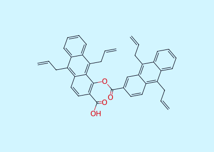 C=CCc1c2ccccc2c(CC=C)c2cc(C(=O)Oc3c(C(=O)O)ccc4c(CC=C)c5ccccc5c(CC=C)c34)ccc12